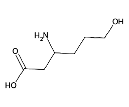 NC(CCCO)CC(=O)O